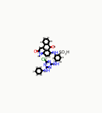 Cn1c(=O)cc2c3c(c(Nc4cc(Nc5nc(Cl)nc(Nc6ccccc6)n5)ccc4S(=O)(=O)O)ccc31)C(=O)c1ccccc1-2